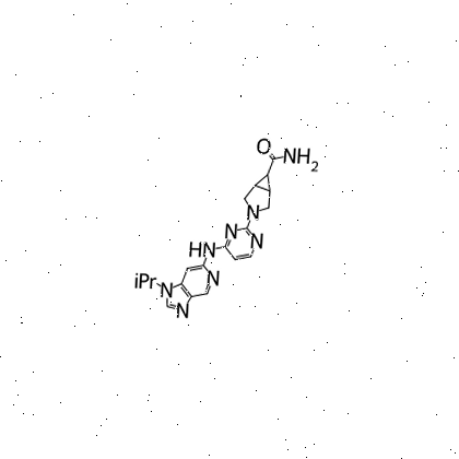 CC(C)n1cnc2cnc(Nc3ccnc(N4CC5C(C4)C5C(N)=O)n3)cc21